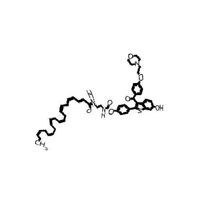 CC/C=C\C/C=C\C/C=C\C/C=C\C/C=C\C/C=C\CCC(=O)NCCNC(=O)Oc1ccc(-c2sc3cc(O)ccc3c2C(=O)c2ccc(OCCN3CCOCC3)cc2)cc1